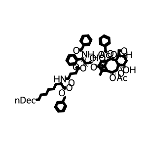 CCCCCCCCCCCCCCCCC(NC(=O)CCC(=O)O[C@@H](C(=O)O[C@H]1C[C@@]2(O)[C@@H](OC(=O)c3ccccc3)C3[C@](C)(C(=O)[C@H](OC(C)=O)C(=C1C)C2(C)C)[C@@H](O)C[C@H]1OC[C@@]31OC(C)=O)[C@@H](NC(=O)c1ccccc1)c1ccccc1)C(=O)OCc1ccccc1